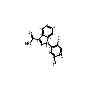 O=C(O)c1cn(-c2nc(Cl)ncc2F)c2ccccc12